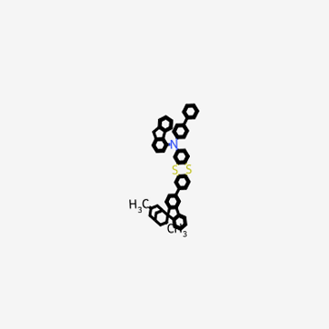 CC1CC2CC(C)C3(c4ccccc4-c4cc(-c5ccc6c(c5)Sc5cc(N(c7ccc(-c8ccccc8)cc7)c7cccc8c7-c7ccccc7C8)ccc5S6)ccc43)C(C1)C2